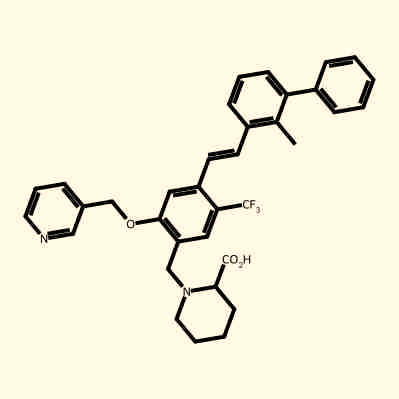 Cc1c(C=Cc2cc(OCc3cccnc3)c(CN3CCCCC3C(=O)O)cc2C(F)(F)F)cccc1-c1ccccc1